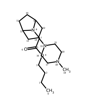 CCCCOC(=O)CN1C2CCC1CC(N1CCN(C)CC1)C2